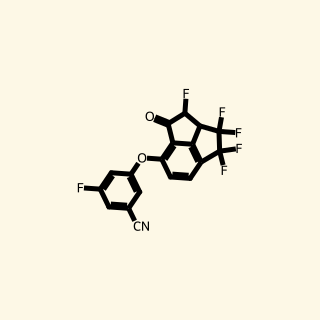 N#Cc1cc(F)cc(Oc2ccc3c4c2C(=O)C(F)C4C(F)(F)C3(F)F)c1